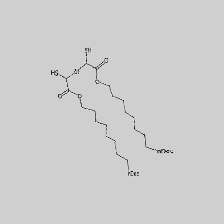 CCCCCCCCCCCCCCCCCCOC(=O)[CH](S)[Zn][CH](S)C(=O)OCCCCCCCCCCCCCCCCCC